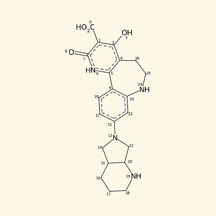 O=C(O)c1c(O)c2c([nH]c1=O)-c1ccc(N3CC4CCCNC4C3)cc1NCC2